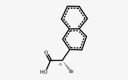 O=C(O)[C@@H](Br)c1ccc2ccccc2c1